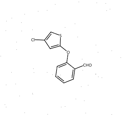 O=Cc1ccccc1Oc1cc(Cl)cs1